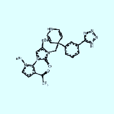 CCCCc1cn(-c2c(C(=O)C(F)(F)F)ccn2CCC)c(=O)n1CC1(c2cccc(-c3nnn[nH]3)c2)C=CNC=C1